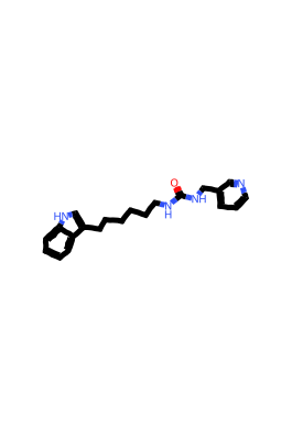 O=C(NCCCCCCc1c[nH]c2ccccc12)NCc1cccnc1